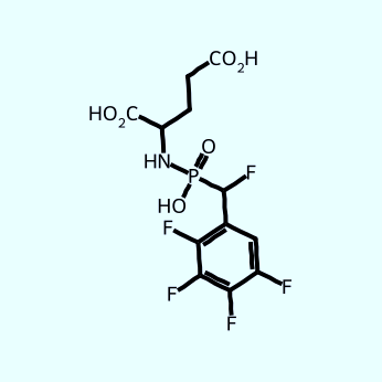 O=C(O)CCC(NP(=O)(O)C(F)c1cc(F)c(F)c(F)c1F)C(=O)O